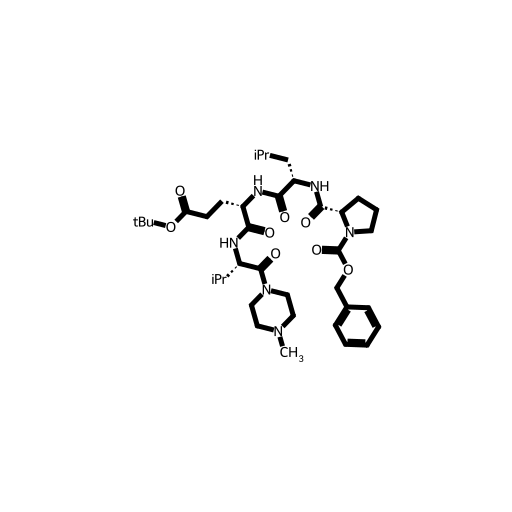 CC(C)C[C@H](NC(=O)[C@@H]1CCCN1C(=O)OCc1ccccc1)C(=O)N[C@@H](CCC(=O)OC(C)(C)C)C(=O)N[C@H](C(=O)N1CCN(C)CC1)C(C)C